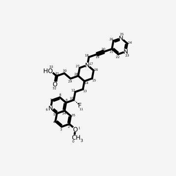 COc1ccc2nccc([C@@H](F)CCC3CCN(CC#Cc4cncnc4)CC3CCC(=O)O)c2c1